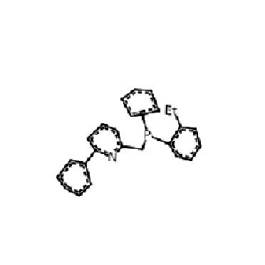 CCc1ccccc1P(Cc1cccc(-c2ccccc2)n1)c1ccccc1